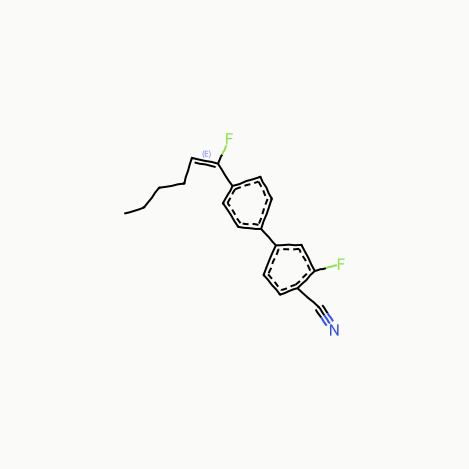 CCCC/C=C(/F)c1ccc(-c2ccc(C#N)c(F)c2)cc1